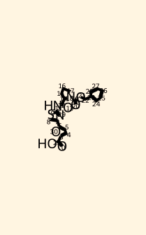 O=C(O)c1ccc(-c2csc(NC(=O)C3CCCN3C(=O)OCc3ccccc3)n2)o1